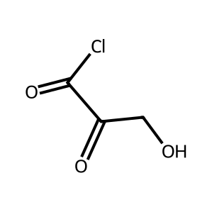 O=C(Cl)C(=O)CO